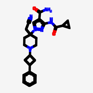 N#CCC1(n2cc(C(N)=O)c(NC(=O)C3CC3)n2)CCN(C2CC(c3ccccc3)C2)CC1